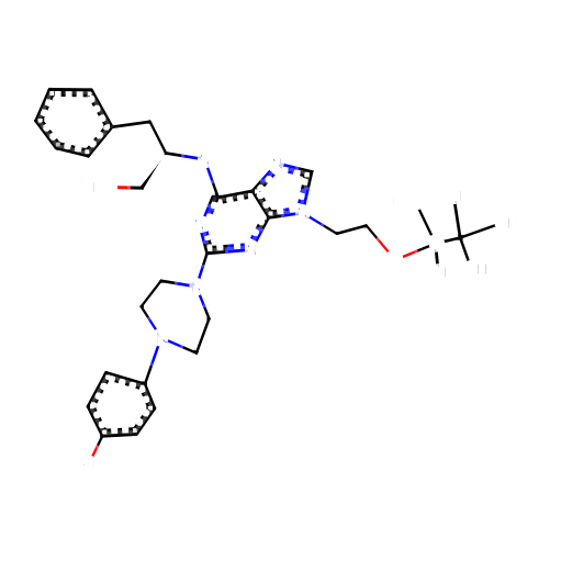 CC(C)(C)[Si](C)(C)OCCn1cnc2c(N[C@@H](CO)Cc3ccccc3)nc(N3CCN(c4ccc(O)cc4)CC3)nc21